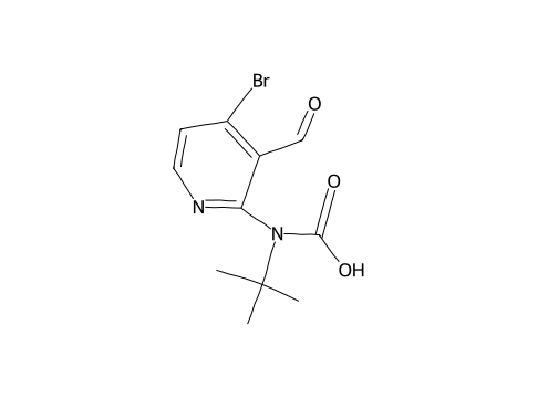 CC(C)(C)N(C(=O)O)c1nccc(Br)c1C=O